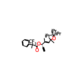 C#C[C@H](OC(=O)[C@](C)(c1ccccc1)C(F)(F)F)/C(C)=C/C(C)(C)O[Si](C(C)C)(C(C)C)C(C)C